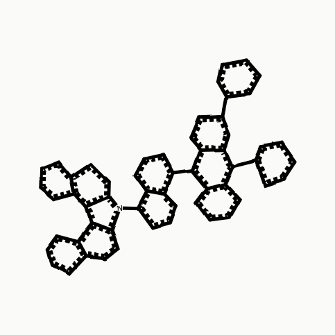 c1ccc(-c2ccc3c(-c4cccc5c(-n6c7ccc8ccccc8c7c7c8ccccc8ccc76)cccc45)c4ccccc4c(-c4ccccc4)c3c2)cc1